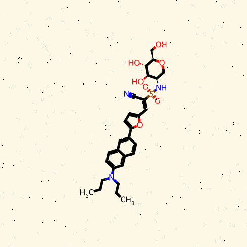 CCCN(CCC)c1ccc2cc(-c3ccc(/C=C(\C#N)S(=O)(=O)N[C@H]4CO[C@H](CO)[C@@H](O)[C@@H]4O)o3)ccc2c1